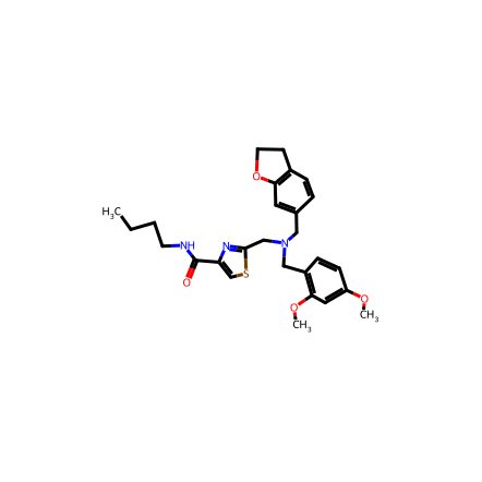 CCCCNC(=O)c1csc(CN(Cc2ccc3c(c2)OCC3)Cc2ccc(OC)cc2OC)n1